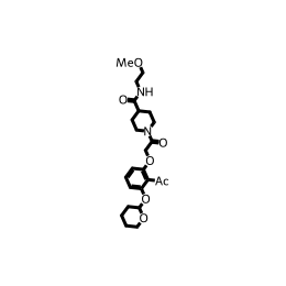 COCCNC(=O)C1CCN(C(=O)COc2cccc(OC3CCCCO3)c2C(C)=O)CC1